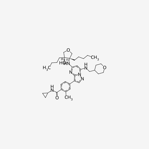 CCCCC[C@]1(Nc2cc(NCC3CCOCC3)n3ncc(-c4ccc(C(=O)NC5CC5)c(C)c4)c3n2)COC[C@@]1(O)CCCC